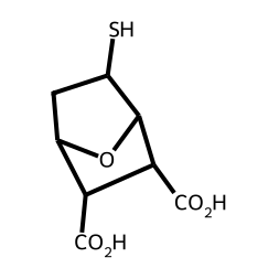 O=C(O)C1C2CC(S)C(O2)C1C(=O)O